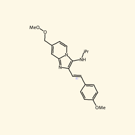 COOCc1ccn2c(NC(C)C)c(/C=C/c3ccc(OC)cc3)nc2c1